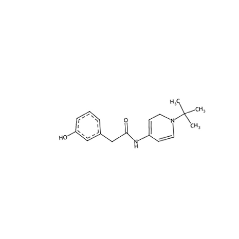 CC(C)(C)N1C=CC(NC(=O)Cc2cccc(O)c2)=CC1